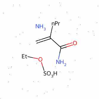 C=C(CCC)C(N)=O.CCOS(=O)(=O)O.N